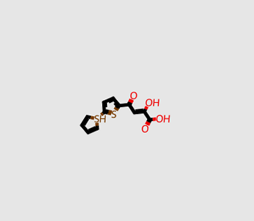 O=C(O)C(O)=CC(=O)c1ccc([SH]2C=CC=C2)s1